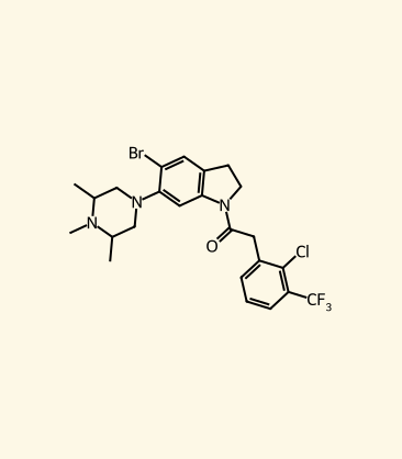 CC1CN(c2cc3c(cc2Br)CCN3C(=O)Cc2cccc(C(F)(F)F)c2Cl)CC(C)N1C